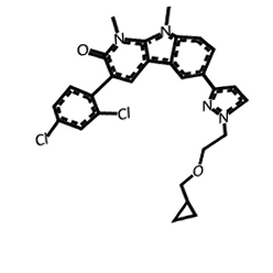 Cn1c(=O)c(-c2ccc(Cl)cc2Cl)cc2c3cc(-c4ccn(CCOCC5CC5)n4)ccc3n(C)c21